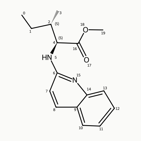 CC[C@H](C)[C@H](Nc1ccc2ccccc2n1)C(=O)OC